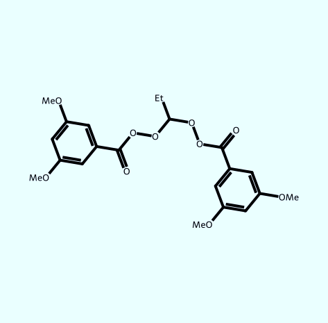 [CH2]C[C](OOC(=O)c1cc(OC)cc(OC)c1)OOC(=O)c1cc(OC)cc(OC)c1